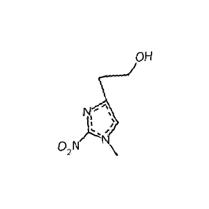 Cn1cc(CCO)nc1[N+](=O)[O-]